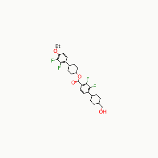 CCOc1ccc(C2CCC(OC(=O)c3ccc(C4CCC(CO)CC4)c(F)c3F)CC2)c(F)c1F